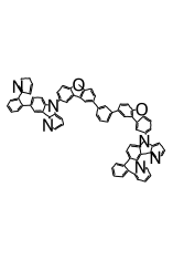 C1=CC(c2ccccc2-c2ccc3c(c2)c2ncccc2n3-c2ccc3oc4ccc(-c5cccc(-c6ccc7oc8ccc(-n9c%10ccc(-c%11ccccc%11-c%11ccccn%11)cc%10c%10ncccc%109)cc8c7c6)c5)cc4c3c2)=NCC1